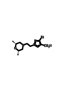 CCc1nn(CCN2C[C@@H](C)O[C@@H](C)C2)cc1C(=O)O